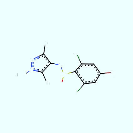 CCc1nn(C)c(CC)c1N[S+]([O-])c1c(Cl)cc(Br)cc1Cl